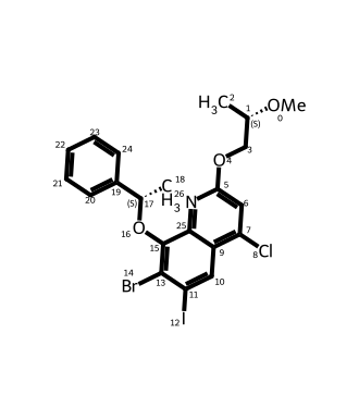 CO[C@@H](C)COc1cc(Cl)c2cc(I)c(Br)c(O[C@@H](C)c3ccccc3)c2n1